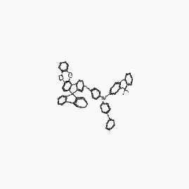 CC1(C)c2ccccc2-c2ccc(N(c3ccc(-c4ccccc4)cc3)c3ccc(-c4ccc5c(c4)C4(c6ccccc6-c6ccccc64)c4ccc6c(c4-5)Oc4ccccc4O6)cc3)cc21